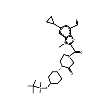 Cn1c(C(=O)N2CCN([C@H]3CC[C@H](O[Si](C)(C)C(C)(C)C)CC3)C(=O)C2)nc2c(C=O)cc(C3CC3)cc21